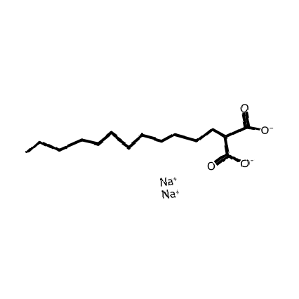 CCCCCCCCCCCCC(C(=O)[O-])C(=O)[O-].[Na+].[Na+]